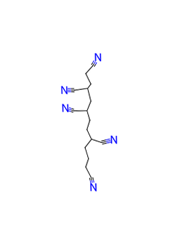 N#CCCCC(C#N)CCC(C#N)CC(C#N)CCC#N